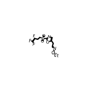 CCO/N=C/Cc1cnc(S(=O)(=O)CCC(F)=C(F)F)o1